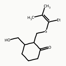 CCC(SCC1C(=O)CCCC1CO)=C(C)C